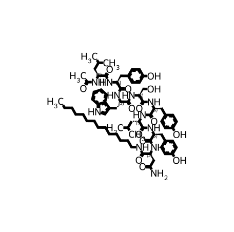 CCCCCCCCCCCCCCNC(=O)[C@H](CC(N)=O)NC(=O)[C@H](Cc1ccc(O)cc1)NC(=O)[C@H](CC(C)C)NC(=O)[C@H](Cc1ccc(O)cc1)NC(=O)[C@H](CO)NC(=O)[C@H](Cc1c[nH]c2ccccc12)NC(=O)[C@H](Cc1ccc(O)cc1)NC(=O)[C@H](CC(C)C)NC(C)=O